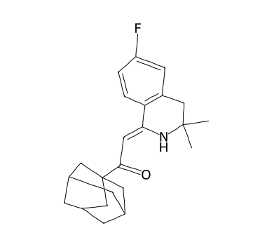 CC1(C)Cc2cc(F)ccc2C(=CC(=O)C23CC4CC(CC(C4)C2)C3)N1